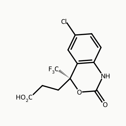 O=C(O)CC[C@]1(C(F)(F)F)OC(=O)Nc2ccc(Cl)cc21